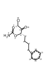 NC(=O)O[C@@H](CCCCc1ccccc1)C(=O)CCl